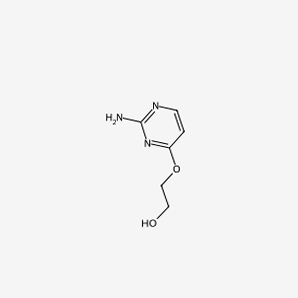 Nc1nccc(OCCO)n1